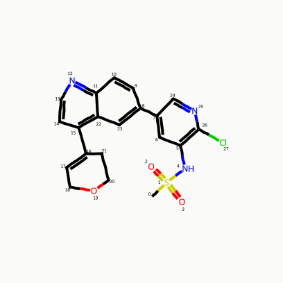 CS(=O)(=O)Nc1cc(-c2ccc3nccc(C4=CCOCC4)c3c2)cnc1Cl